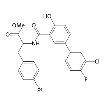 COC(=O)C(Cc1ccc(Br)cc1)NC(=O)c1cc(-c2ccc(F)c(Cl)c2)ccc1O